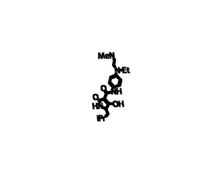 CCN(CCNC)c1ccc(NC(=O)C2=C(O)C(CC(C)C)NC2=O)cc1